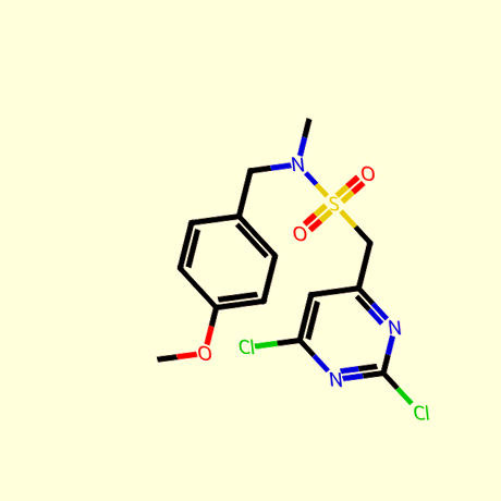 COc1ccc(CN(C)S(=O)(=O)Cc2cc(Cl)nc(Cl)n2)cc1